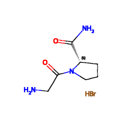 Br.NCC(=O)N1CCC[C@H]1C(N)=O